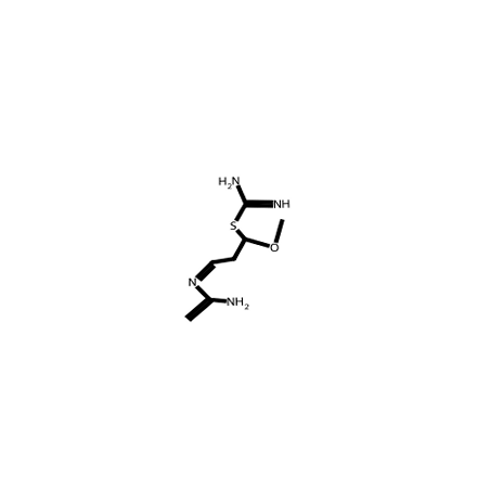 C=C(N)/N=C\CC(OC)SC(=N)N